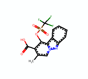 Cc1cn2nc3ccccc3c2c(OS(=O)(=O)C(F)(F)F)c1C(=O)O